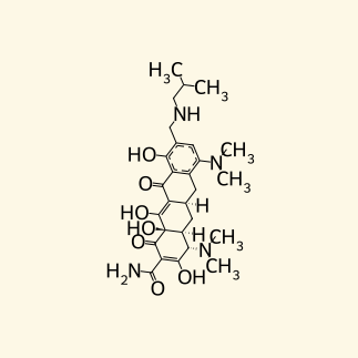 CC(C)CNCc1cc(N(C)C)c2c(c1O)C(=O)C1=C(O)[C@@]3(O)C(=O)C(C(N)=O)=C(O)[C@@H](N(C)C)[C@@H]3C[C@@H]1C2